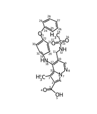 Cc1c(C(=O)O)cn2ncc(CNS(C)(=O)=O)c(Nc3ccc(Oc4ccccc4)cc3)c12